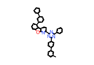 Cc1cccc(-c2ccc(-c3nc(-c4ccccc4)nc(-c4ccc5c(n4)oc4cccc(-c6cccc(-c7ccccc7)c6)c45)n3)cc2)c1